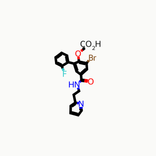 O=C(O)COc1c(Br)cc(C(=O)NCCc2ccccn2)cc1-c1ccccc1F